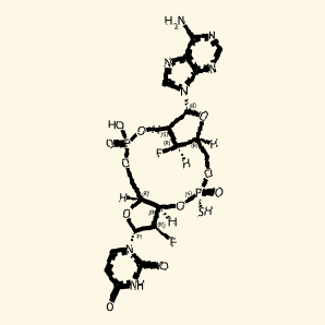 Nc1ncnc2c1ncn2[C@@H]1O[C@@H]2CO[P@](=O)(S)O[C@H]3[C@@H](F)[C@H](n4ccc(=O)[nH]c4=O)O[C@@H]3COP(=O)(O)O[C@@H]1[C@@H]2F